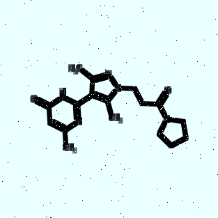 Cc1cc(=O)[nH]c(-c2c(C)nn(CCC(=O)N3CCCC3)c2C)n1